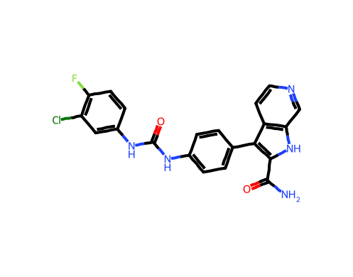 NC(=O)c1[nH]c2cnccc2c1-c1ccc(NC(=O)Nc2ccc(F)c(Cl)c2)cc1